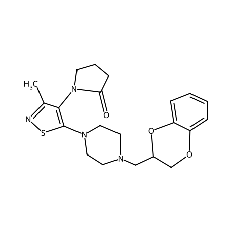 Cc1nsc(N2CCN(CC3COc4ccccc4O3)CC2)c1N1CCCC1=O